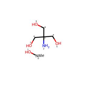 CNO.NC(CO)(CO)CO